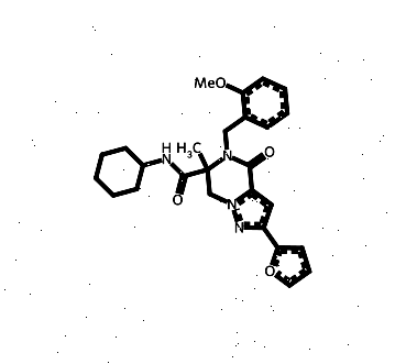 COc1ccccc1CN1C(=O)c2cc(-c3ccco3)nn2CC1(C)C(=O)NC1CCCCC1